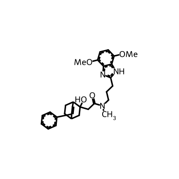 COc1ccc(OC)c2[nH]c(CCCN(C)C(=O)CC3(O)CC4CCC3C=C4c3ccccc3)nc12